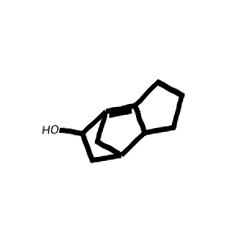 OC1CC2CC1=C1CCCC12